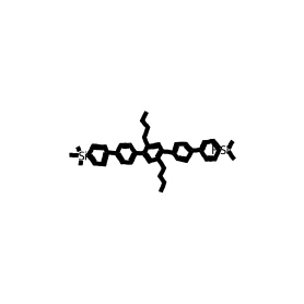 CCCCc1cc(-c2ccc(-c3ccc([Si](C)(C)C)cc3)cc2)c(CCCC)cc1-c1ccc(-c2ccc([SiH](C)C)cc2)cc1